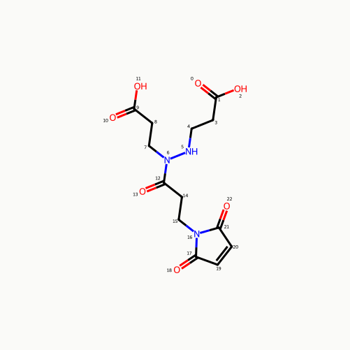 O=C(O)CCNN(CCC(=O)O)C(=O)CCN1C(=O)C=CC1=O